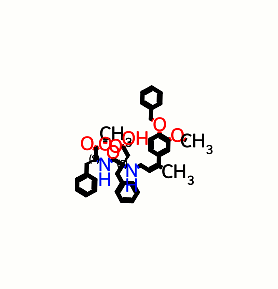 COC(=O)[C@H](Cc1ccccc1)NC(=O)[C@@](CC(=O)O)(Cc1ccccc1)NCC=C(C)c1ccc(OCc2ccccc2)c(OC)c1